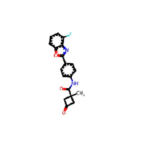 CC1(C(=O)Nc2ccc(-c3nc4c(F)cccc4o3)cc2)CC(=O)C1